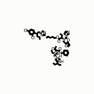 C=CCCCOC(=O)C(CC)N(Cc1ccco1)C(=O)n1ccnc1.CC1=C(C(=O)Nc2ccccc2)S(=O)(=O)CCO1.CCCC(Cn1cncn1)c1ccc(Cl)cc1Cl.CCCCC.c1c[nH]cn1